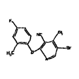 Cc1cc(F)ccc1Oc1ncc(Br)c(C)c1C#N